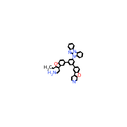 C=Cc1oc2ccc(-c3cc(-c4ccc5oc6cnccc6c5c4)cc(-n4c5ccccc5n5c6ccccc6nc45)c3)cc2c1/C=C\N